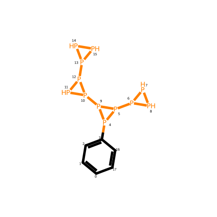 c1ccc(-p2p(-p3[pH][pH]3)p2-p2[pH]p2-p2[pH][pH]2)cc1